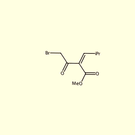 COC(=O)/C(=C\C(C)C)C(=O)CBr